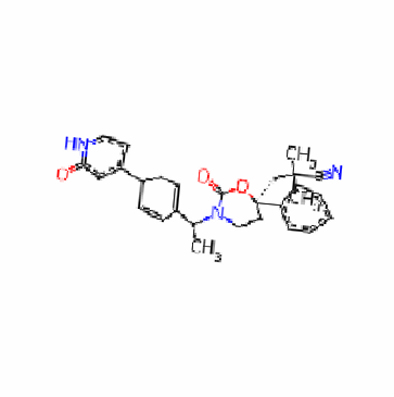 C[C@@H](C1=CCC(c2cc[nH]c(=O)c2)C=C1)N1CC[C@](CC(C)(C)C#N)(c2ccccc2)OC1=O